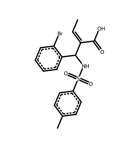 CC=C(C(=O)O)C(NS(=O)(=O)c1ccc(C)cc1)c1ccccc1Br